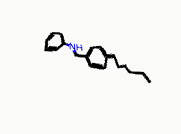 CCCCCCc1ccc(CNc2ccccc2)cc1